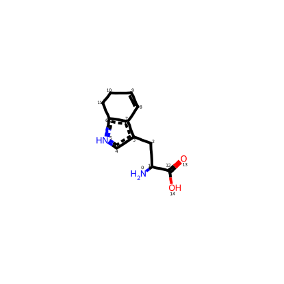 NC(Cc1c[nH]c2c1C=CCC2)C(=O)O